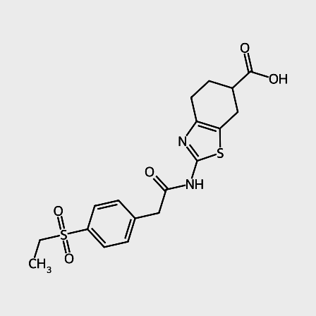 CCS(=O)(=O)c1ccc(CC(=O)Nc2nc3c(s2)CC(C(=O)O)CC3)cc1